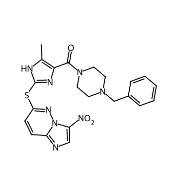 Cc1[nH]c(Sc2ccc3ncc([N+](=O)[O-])n3n2)nc1C(=O)N1CCN(Cc2ccccc2)CC1